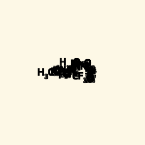 CN1CC[C@@H](Nc2cccc3c2cc(-c2noc(CNC(=O)c4cnc(N5CCCC5)s4)n2)n3CC(F)(F)F)[C@@H](F)C1